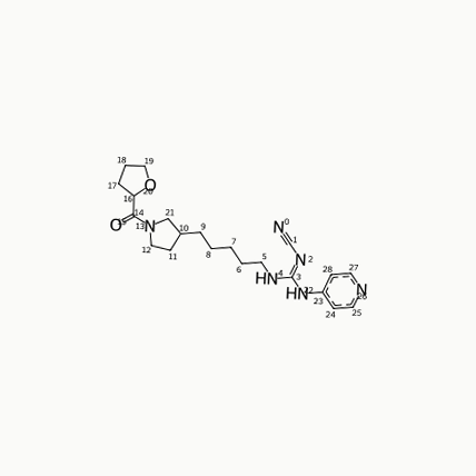 N#CN=C(NCCCCCC1CCN(C(=O)C2CCCO2)C1)Nc1ccncc1